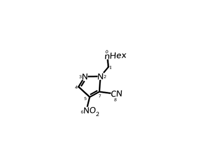 CCCCCCCn1ncc([N+](=O)[O-])c1C#N